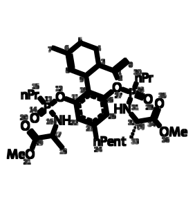 C=C(C)C1CCC(C)=CC1c1c(OP(=O)(CCC)NC(C)C(=O)OC)cc(CCCCC)cc1OP(=O)(CCC)N[C@@H](C)C(=O)OC